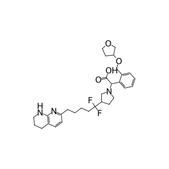 O=C(O)C(c1ccccc1COC1CCOC1)N1CCC(C(F)(F)CCCCc2ccc3c(n2)NCCC3)C1